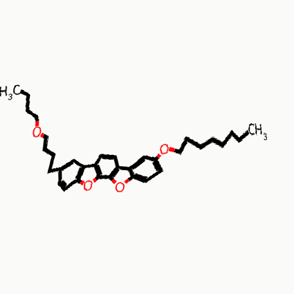 CCCCCCCCOc1ccc2oc3c(ccc4c5cc(CCCCOCCCC)ccc5oc43)c2c1